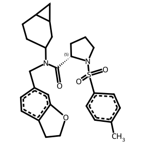 Cc1ccc(S(=O)(=O)N2CCC[C@H]2C(=O)N(Cc2ccc3c(c2)OCC3)C2CCC3CC3C2)cc1